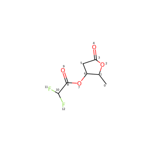 CC1OC(=O)CC1OC(=O)C(F)F